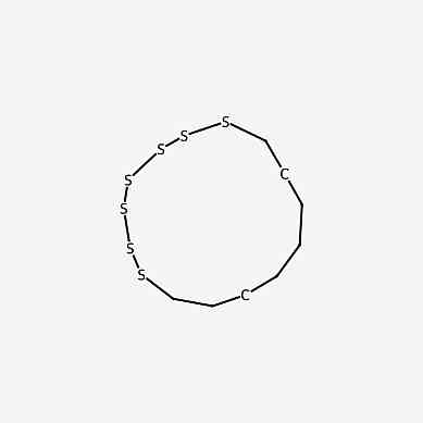 C1CCCCSSSSSSSCCC1